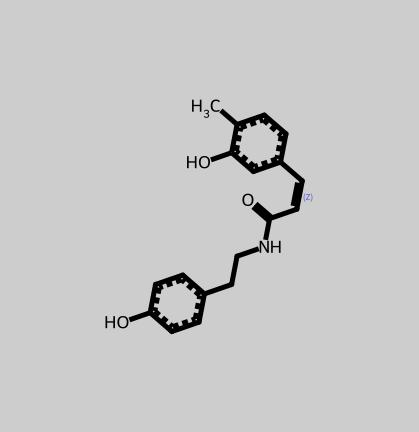 Cc1ccc(/C=C\C(=O)NCCc2ccc(O)cc2)cc1O